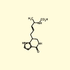 CC(C=CCC1CNC(=O)c2cc[nH]c21)NC(=O)O